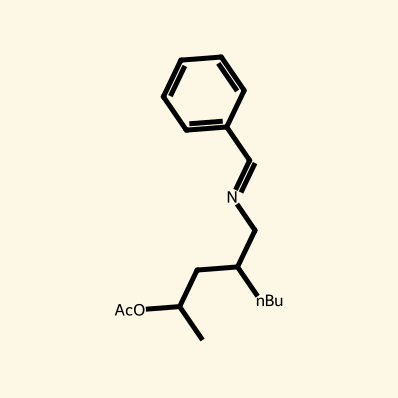 CCCCC(CN=Cc1ccccc1)CC(C)OC(C)=O